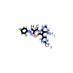 CC(c1cnn(-c2ccc(F)cc2F)c1)n1c(Br)c(-c2cnc(C(F)(F)F)nc2)c2c(N)ncnc21